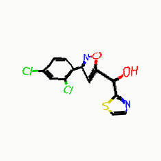 OC(c1cc(-c2ccc(Cl)cc2Cl)no1)c1nccs1